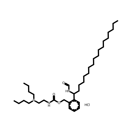 CCCCCCCCCCCCCCCCCC(NC=O)c1ccccc1COC(=O)NCCN(CCCC)CCCC.Cl